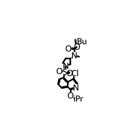 CC(C)Oc1ncc(Cl)c2c(S(=O)(=O)N3CC[C@H](N(C)C(=O)OC(C)(C)C)C3)cccc12